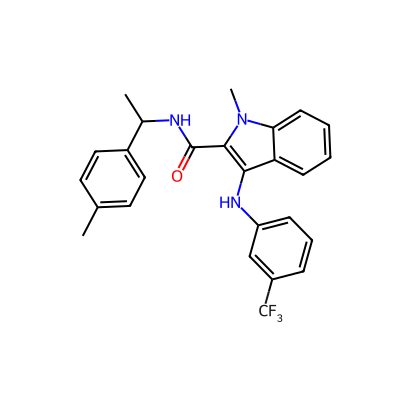 Cc1ccc(C(C)NC(=O)c2c(Nc3cccc(C(F)(F)F)c3)c3ccccc3n2C)cc1